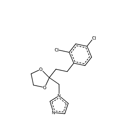 Clc1ccc(CCC2(Cn3ccnc3)OCCO2)c(Cl)c1